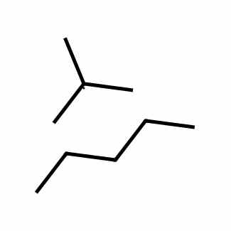 CCCCC.C[C](C)C